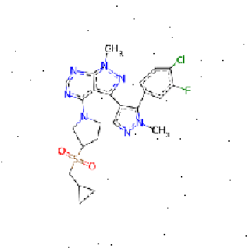 Cn1ncc(-c2nn(C)c3ncnc(N4CCC(S(=O)(=O)CC5CC5)C4)c23)c1-c1ccc(Cl)c(F)c1